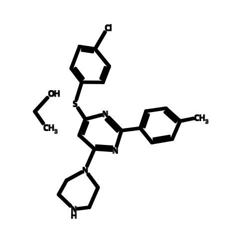 CCO.Cc1ccc(-c2nc(Sc3ccc(Cl)cc3)cc(N3CCNCC3)n2)cc1